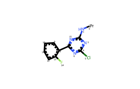 CC(C)Nc1nc(Cl)nc(-c2ccccc2F)n1